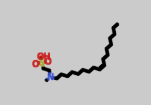 CCCCCCCC/C=C\CCCCCCCCN(C)CCS(=O)(=O)O